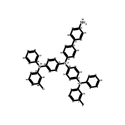 Cc1cccc(N(c2ccccc2)c2ccc(N(c3ccc(-c4ccc(N)cc4)cc3)c3ccc(N(c4ccccc4)c4cccc(C)c4)cc3)cc2)c1